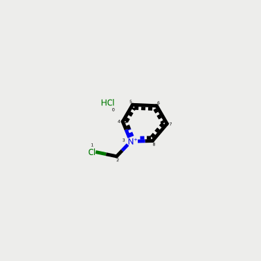 Cl.ClC[n+]1ccccc1